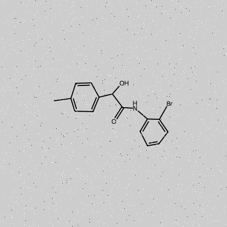 Cc1ccc(C(O)C(=O)Nc2ccccc2Br)cc1